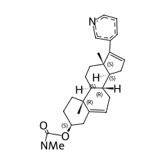 CNC(=O)O[C@H]1CC[C@@]2(C)C(=CC[C@@H]3[C@@H]2CC[C@]2(C)C(c4cccnc4)=CC[C@@H]32)C1